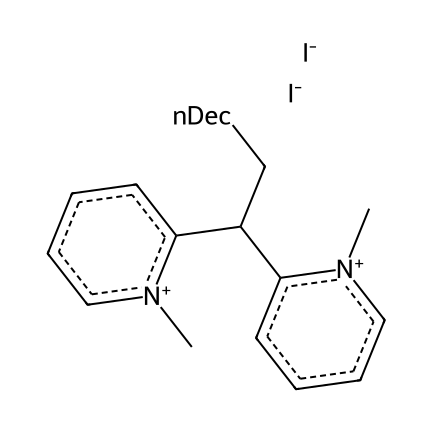 CCCCCCCCCCCC(c1cccc[n+]1C)c1cccc[n+]1C.[I-].[I-]